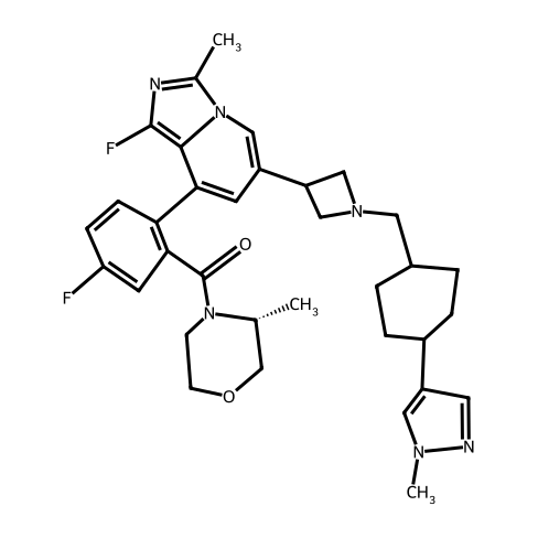 Cc1nc(F)c2c(-c3ccc(F)cc3C(=O)N3CCOC[C@H]3C)cc(C3CN(CC4CCC(c5cnn(C)c5)CC4)C3)cn12